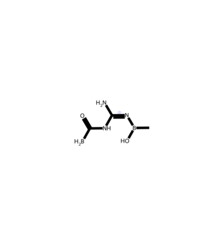 BC(=O)N/C(N)=N\B(C)O